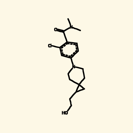 CN(C)C(=O)c1ccc(N2CCC3(CC2)CC3CCO)cc1Cl